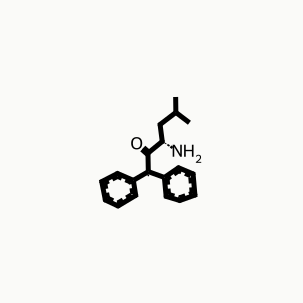 CC(C)C[C@H](N)C(=O)[C](c1ccccc1)c1ccccc1